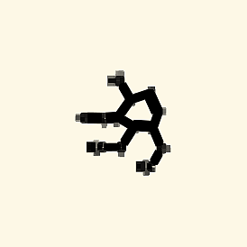 COC1=C(OC)C(=C=O)C(O)C=C1